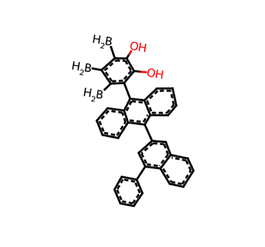 Bc1c(B)c(O)c(O)c(-c2c3ccccc3c(-c3cc(-c4ccccc4)c4ccccc4c3)c3ccccc23)c1B